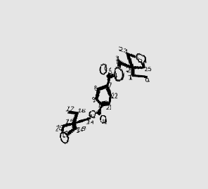 CCC1(COC(=O)c2ccc(C(=O)OCC3(CC)COC3)cc2)COC1